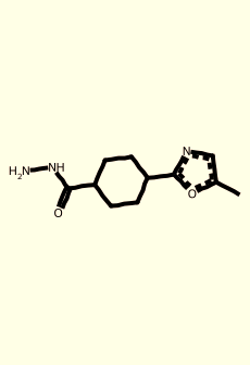 Cc1cnc(C2CCC(C(=O)NN)CC2)o1